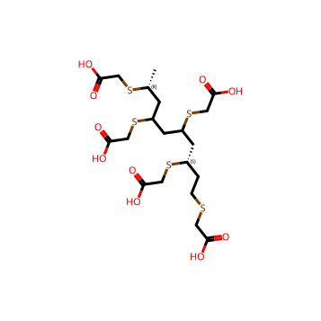 C[C@H](CC(CC(C[C@H](CCSCC(=O)O)SCC(=O)O)SCC(=O)O)SCC(=O)O)SCC(=O)O